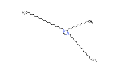 CCCCCCCCCCCCCCCCCCN1C=CN(CCCCCCCCCCCCCCC)C1CCCCCCCCCC